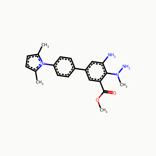 COC(=O)c1cc(-c2ccc(-n3c(C)ccc3C)cc2)cc(N)c1N(C)N